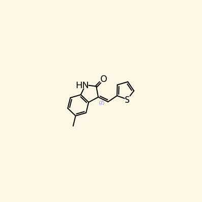 Cc1ccc2c(c1)/C(=C/c1cccs1)C(=O)N2